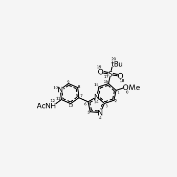 COc1cc2ncc(-c3ccnc(NC(C)=O)c3)n2cc1S(=O)(=O)C(C)(C)C